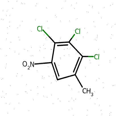 Cc1cc([N+](=O)[O-])c(Cl)c(Cl)c1Cl